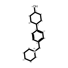 OC1CCC(c2ccc(CN3CCCCC3)cc2)CC1